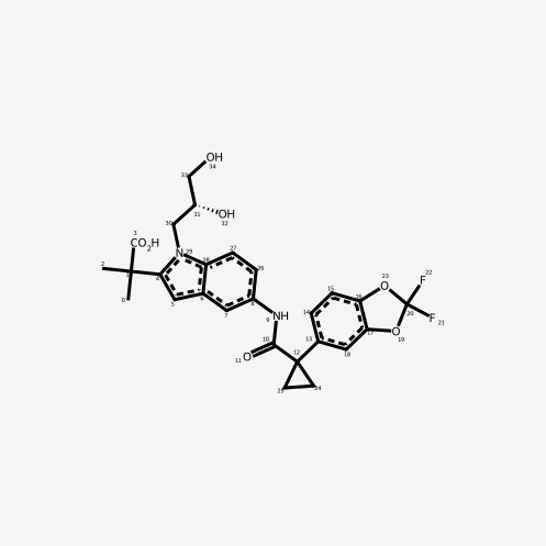 CC(C)(C(=O)O)c1cc2cc(NC(=O)C3(c4ccc5c(c4)OC(F)(F)O5)CC3)ccc2n1C[C@@H](O)CO